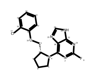 Fc1nc(N2CCC[C@@H]2COc2ccccc2Cl)c2nc[nH]c2n1